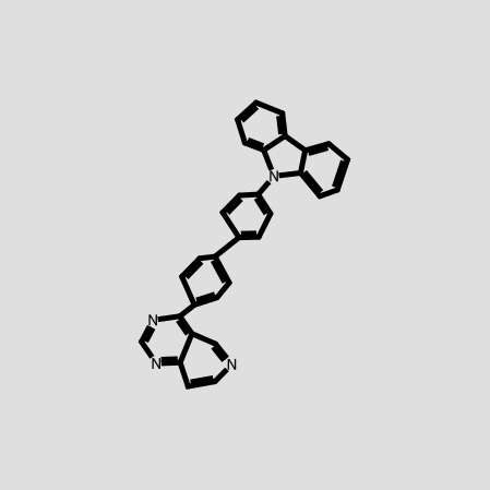 c1ccc2c(c1)c1ccccc1n2-c1ccc(-c2ccc(-c3ncnc4ccncc34)cc2)cc1